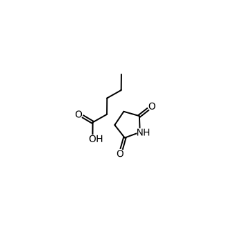 CCCCC(=O)O.O=C1CCC(=O)N1